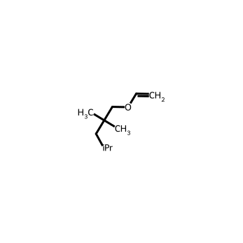 C=COCC(C)(C)CC(C)C